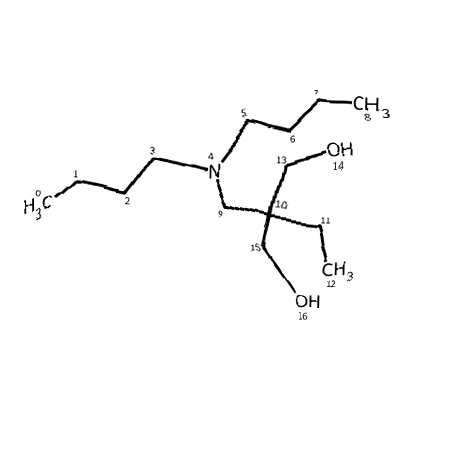 CCCCN(CCCC)CC(CC)(CO)CO